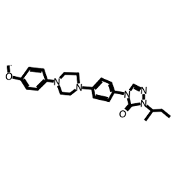 [CH2]Oc1ccc(N2CCN(c3ccc(-n4cnn(C(C)CC)c4=O)cc3)CC2)cc1